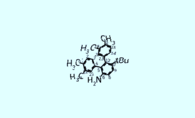 Cc1ccc(-c2c(N)ccc(C(C)(C)C)c2-c2ccc(C)c(C)c2)cc1C